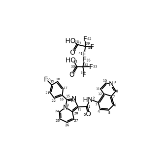 O=C(Nc1cccc2cnccc12)c1nc(-c2ccc(F)cc2)n2ccccc12.O=C(O)C(F)(F)F.O=C(O)C(F)(F)F